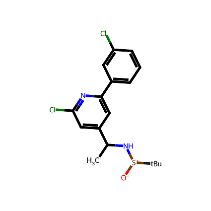 CC(N[S+]([O-])C(C)(C)C)c1cc(Cl)nc(-c2cccc(Cl)c2)c1